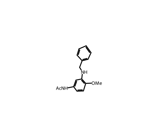 COc1ccc(NC(C)=O)cc1NCc1ccccc1